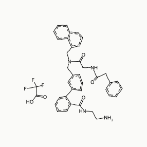 NCCNC(=O)c1ccccc1-c1cccc(CN(Cc2cccc3ccccc23)C(=O)CNC(=O)Cc2ccccc2)c1.O=C(O)C(F)(F)F